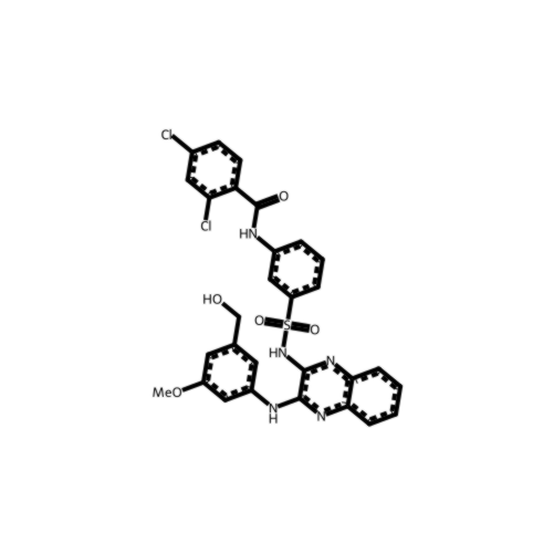 COc1cc(CO)cc(Nc2nc3ccccc3nc2NS(=O)(=O)c2cccc(NC(=O)c3ccc(Cl)cc3Cl)c2)c1